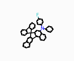 Fc1ccc(N(c2ccccc2)c2cc3c(c4ccccc24)-c2cc4ccccc4cc2C32c3ccccc3-c3ccccc32)cc1